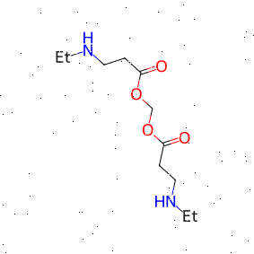 CCNCCC(=O)OCOC(=O)CCNCC